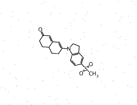 CS(=O)(=O)c1ccc2c(c1)CCN2C1=CC2=CC(=O)CCC2CC1